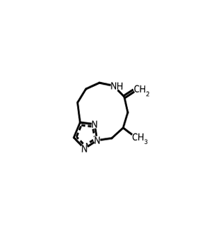 C=C1CC(C)Cn2ncc(n2)CCCN1